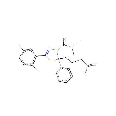 CON(C)C(=O)N1N=C(c2cc(F)ccc2F)SC1(CCCC(=N)N)c1ccccc1